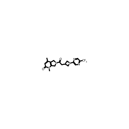 Cc1cc(=O)n(C)c2c1CN(C(=O)CC1CN(c3cnc(C(F)(F)F)cn3)C1)C2